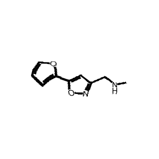 CNCc1cc(-c2ccco2)on1